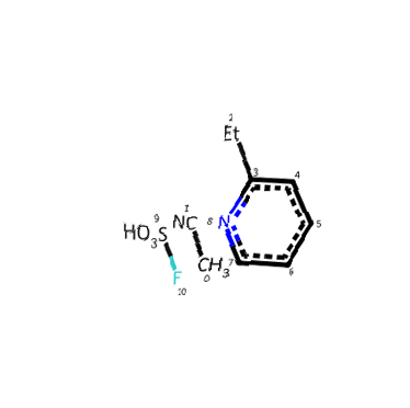 CC#N.CCc1ccccn1.O=S(=O)(O)F